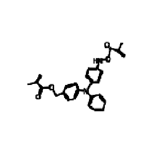 C=C(C)C(=O)OCc1ccc(N(c2ccccc2)c2ccc(NOC(=O)C(=C)C)cc2)cc1